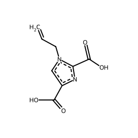 C=CCn1cc(C(=O)O)nc1C(=O)O